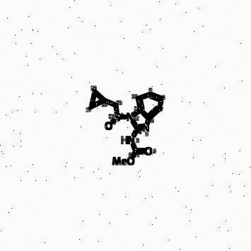 COC(=O)Nc1nc2ccccc2n1[S+]([O-])CC1CC1